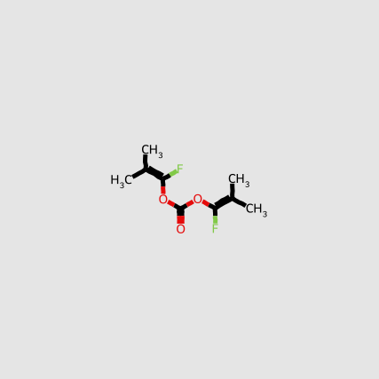 CC(C)=C(F)OC(=O)OC(F)=C(C)C